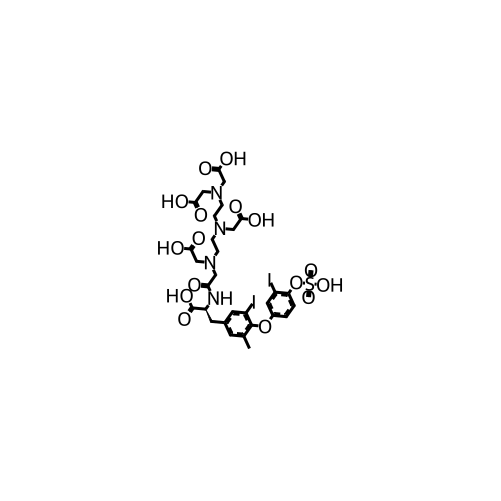 Cc1cc(C[C@H](NC(=O)CN(CCN(CCN(CC(=O)O)CC(=O)O)CC(=O)O)CC(=O)O)C(=O)O)cc(I)c1Oc1ccc(OS(=O)(=O)O)c(I)c1